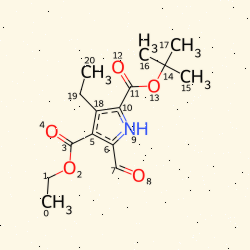 CCOC(=O)c1c(C=O)[nH]c(C(=O)OC(C)(C)C)c1CC